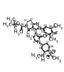 CNc1cc(-n2ccn(-c3c4c(nn3-c3cc(C)c(F)c(C)c3)CCN(C(=O)OC(C)(C)C)[C@H]4C)c2=O)ccc1S(C)(=O)=O